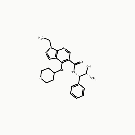 CCn1ncc2c(NC3CCOCC3)c(C(=O)N[C@@H](c3ccccc3)[C@@H](C)O)cnc21